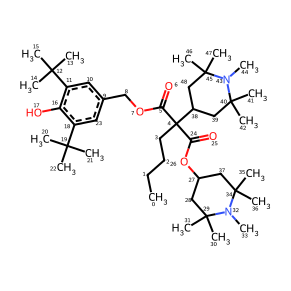 CCCCC(C(=O)OCc1cc(C(C)(C)C)c(O)c(C(C)(C)C)c1)(C(=O)OC1CC(C)(C)N(C)C(C)(C)C1)C1CC(C)(C)N(C)C(C)(C)C1